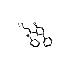 NC/C=C(\NC1C=CC=CC1)c1nn(-c2ccccc2)ccc1=O